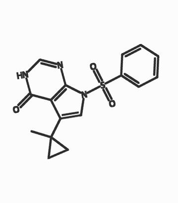 CC1(c2cn(S(=O)(=O)c3ccccc3)c3nc[nH]c(=O)c23)CC1